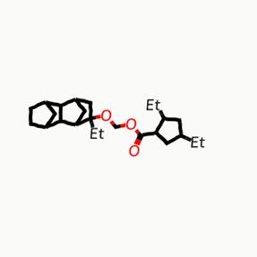 CCC1CC(CC)C(C(=O)OCOC2(CC)CC3CC2C2C4CCC(C4)C32)C1